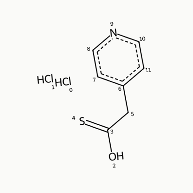 Cl.Cl.OC(=S)Cc1ccncc1